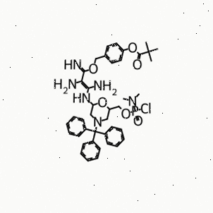 CN(C)P(=O)(Cl)OCC1CN(C(c2ccccc2)(c2ccccc2)c2ccccc2)CC(N/C(N)=C(\N)C(=N)OCc2ccc(OC(=O)C(C)(C)C)cc2)O1